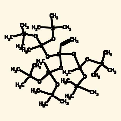 C=C[Si](O[Si](C)(O[Si](C)(C)C)O[Si](C)(C)C)(O[Si](C)(O[Si](C)(C)C)O[Si](C)(C)C)O[Si](C)(O[Si](C)(C)C)O[Si](C)(C)C